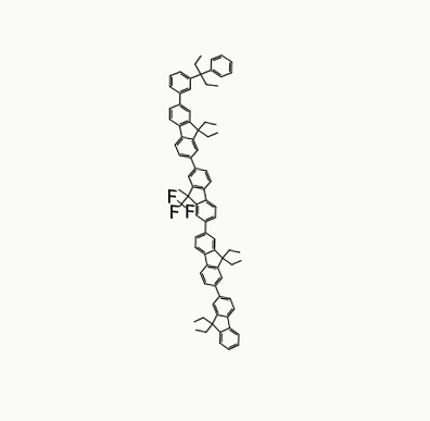 CCC(CC)(c1ccccc1)c1cccc(-c2ccc3c(c2)C(CC)(CC)c2cc(-c4ccc5c(c4)C(C)(C(F)(F)F)c4cc(-c6ccc7c(c6)C(CC)(CC)c6cc(-c8ccc9c(c8)C(CC)(CC)c8ccccc8-9)ccc6-7)ccc4-5)ccc2-3)c1